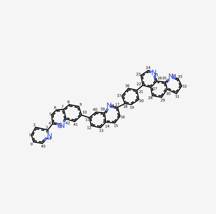 c1ccc(-c2ccc3ccc(-c4ccc5ccc(-c6ccc(-c7ccnc8c7ccc7cccnc78)cc6)nc5c4)cc3n2)nc1